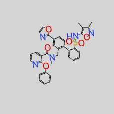 Cc1noc(NS(=O)(=O)c2ccccc2-c2ccc(-c3ncco3)cc2CN(C)C(=O)c2cccnc2Oc2ccccc2)c1C